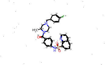 C[C@H]1CN(CC2C=CC(F)=CC2)CCN1C(=O)c1ccc(NS(=O)(=O)c2cccc3cccnc23)cc1